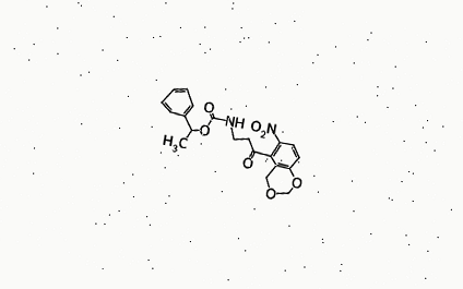 CC(OC(=O)NCCC(=O)c1c([N+](=O)[O-])ccc2c1COCO2)c1ccccc1